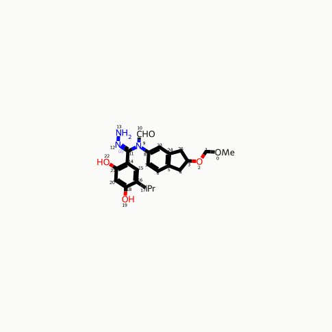 COCOC1Cc2ccc(N(C=O)/C(=N\N)c3cc(C(C)C)c(O)cc3O)cc2C1